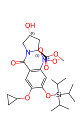 COC(=O)[C@@H]1C[C@@H](O)CN1C(=O)c1cc(OC2CC2)c(O[Si](C(C)C)(C(C)C)C(C)C)cc1[N+](=O)[O-]